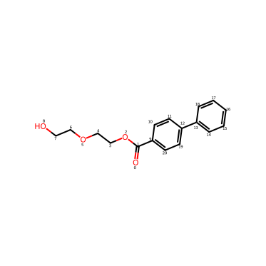 O=C(OCCOCCO)c1ccc(-c2ccccc2)cc1